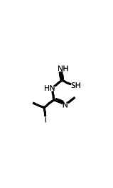 C/N=C(\NC(=N)S)C(C)I